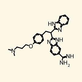 CN(C)CCCOc1ccc(CC(c2nc3ccccc3[nH]2)c2nc3ccc(C(=N)N)cc3[nH]2)cc1